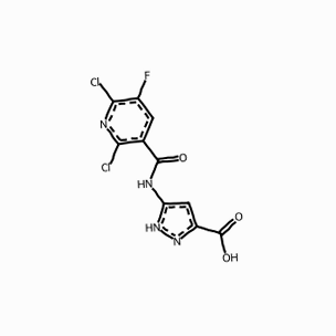 O=C(O)c1cc(NC(=O)c2cc(F)c(Cl)nc2Cl)[nH]n1